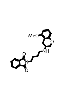 COc1cccc2c1CC(NCCCCN1C(=O)c3ccccc3C1=O)CO2